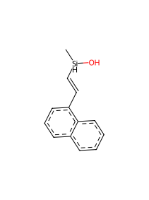 C[SiH](O)C=Cc1cccc2ccccc12